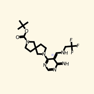 CC(C)(C)OC(=O)N1CCC2(CCN(C3=NC=NC(=N)/C3=C\NCC(F)(F)F)C2)C1